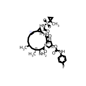 CC1CC/C=C\C2C[C@@]2(C(=O)NS(=O)(=O)C2(C)CC2)NC(=O)[C@@H]2C[C@@H](OC(=O)Nc3ccc(F)cc3)CN2C(=O)[C@@H](N)[C@H](C)C1